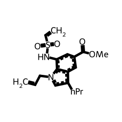 C=CCn1cc(CCC)c2cc(C(=O)OC)cc(NS(=O)(=O)C=C)c21